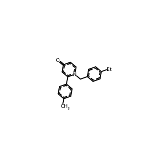 CCc1ccc(Cn2ccc(=O)cc2-c2ccc(C)cc2)cc1